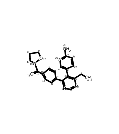 CCc1ncnc(-c2ccc(C(=O)N3CCCO3)cc2)c1-c1ccc(N)nc1